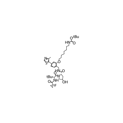 Cc1ncsc1-c1ccc(CNC(=O)[C@@H]2C[C@@H](O)CN2C(=O)[C@@H](NC(=O)C2(F)CC2)C(C)(C)C)c(OCCCCCCCCNC(=O)OC(C)(C)C)c1